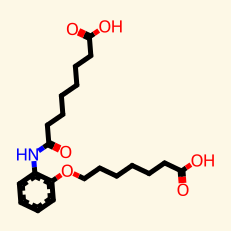 O=C(O)CCCCCCOc1ccccc1NC(=O)CCCCCCC(=O)O